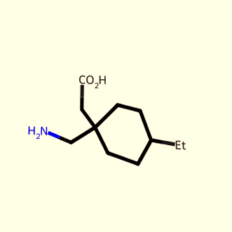 CCC1CCC(CN)(CC(=O)O)CC1